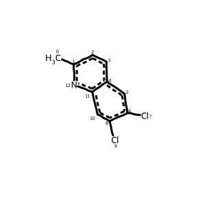 Cc1ccc2cc(Cl)c(Cl)cc2n1